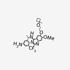 COc1cc2nc(C)nc(NC(C)c3cc(N)cc(C(F)(F)F)c3)c2cc1OCCOC1(C)CCC1